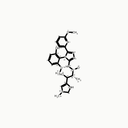 COC1=NC(c2nnc(N[S+]([O-])[C@H](C)C(O)C3=CN(C)CN3)n2-c2c(O)cccc2OC)=C=C=C1